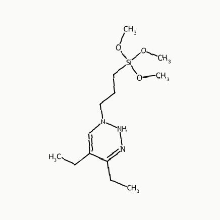 CCC1=CN(CCC[Si](OC)(OC)OC)NN=C1CC